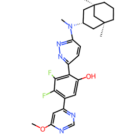 COc1cc(-c2cc(O)c(-c3ccc(N(C)[C@H]4C[C@]5(C)CCC[C@](C)(C4)C5)nn3)c(F)c2F)ncn1